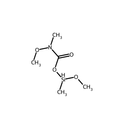 CON(C)C(=O)O[SiH](C)OC